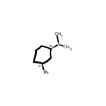 CC(C)[C@H]1CCC[C@@H](N(C)C)C1